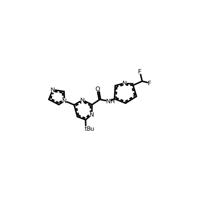 CC(C)(C)c1cc(-n2ccnc2)nc(C(=O)Nc2ccc(C(F)F)nc2)n1